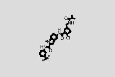 CC(C)C(=O)NCc1ccc(Cl)c(C(=O)Nc2ccc3c(c2)cc(C(=O)Nc2cccc(C(F)(F)F)c2)n3C)c1